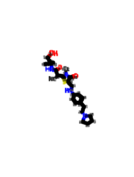 CCn1c(=C(C#N)C(=O)NC(C)(C)CO)sc(=CNc2ccc(CCN3CCCC3)cc2)c1=O